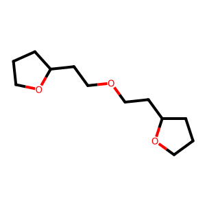 C1COC(CCOCCC2CCCO2)C1